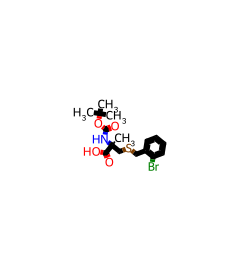 CC(C)(C)OC(=O)N[C@@](C)(CSCc1ccccc1Br)C(=O)O